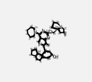 Oc1cc(-c2ncc3c(N4CCCCCC4)nc(OC[C@@]45CCCN4C[C@H](F)C5)nc3c2F)c2c3c(ccc2c1)CCC3